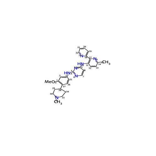 COc1cc(Nc2nccc(Nc3ccc(C)nc3-c3ccccn3)n2)ccc1C1CCN(C)CC1